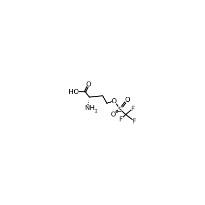 N[C@@H](CCOS(=O)(=O)C(F)(F)F)C(=O)O